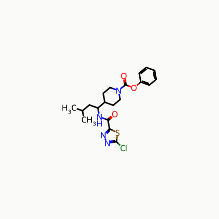 CC(C)CC(NC(=O)c1nnc(Cl)s1)C1CCN(C(=O)Oc2ccccc2)CC1